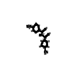 Cc1ccc(C(=O)NC(=O)c2ccc(C#N)cc2)cc1